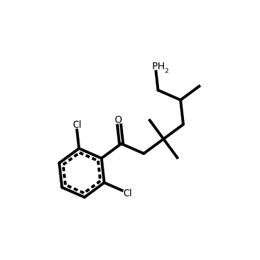 CC(CP)CC(C)(C)CC(=O)c1c(Cl)cccc1Cl